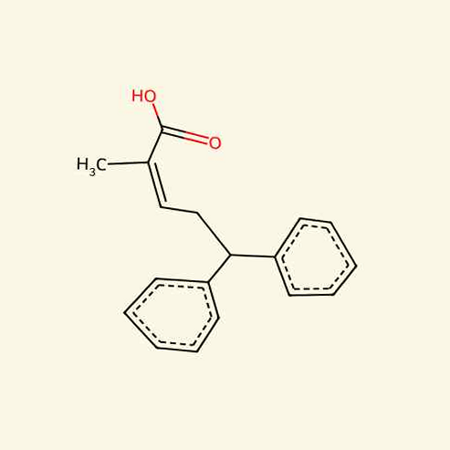 CC(=CCC(c1ccccc1)c1ccccc1)C(=O)O